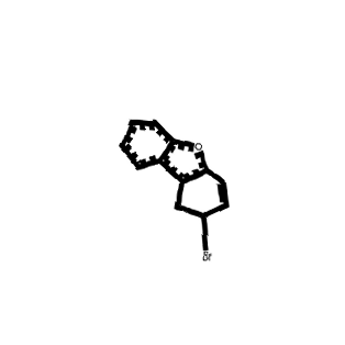 BrC1C=Cc2oc3ccccc3c2C1